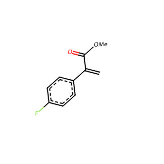 C=C(C(=O)OC)c1ccc(F)cc1